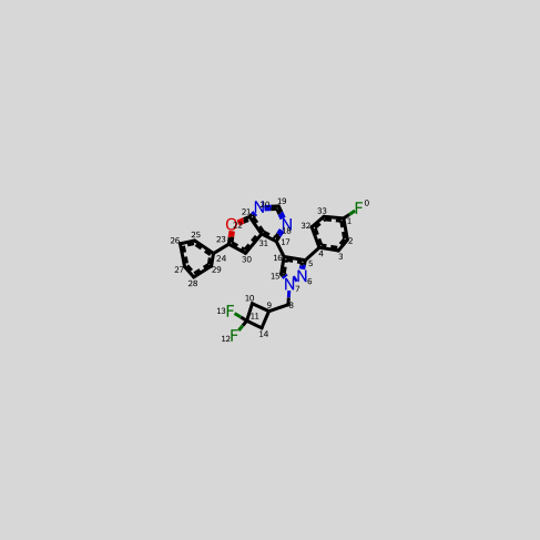 Fc1ccc(-c2nn(CC3CC(F)(F)C3)cc2-c2ncnc3oc(-c4ccccc4)cc23)cc1